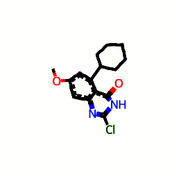 COc1cc(C2CCCCC2)c2c(=O)[nH]c(Cl)nc2c1